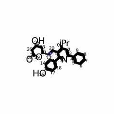 CC(C)c1cc(-c2ccccc2)nc(-c2ccc(O)cc2)c1/C=C/[C@@H]1C[C@@H](O)CC(=O)O1